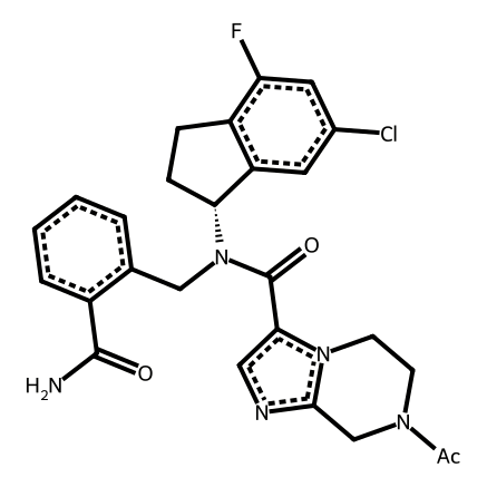 CC(=O)N1CCn2c(C(=O)N(Cc3ccccc3C(N)=O)[C@@H]3CCc4c(F)cc(Cl)cc43)cnc2C1